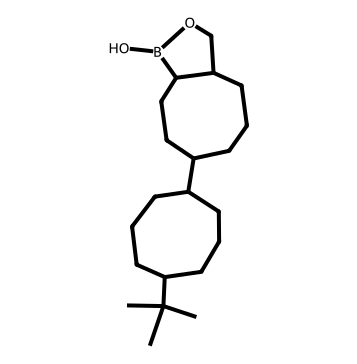 CC(C)(C)C1CCCC(C2CCCC3COB(O)C3CC2)CCC1